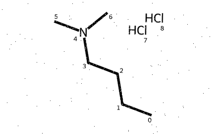 CCCCN(C)C.Cl.Cl